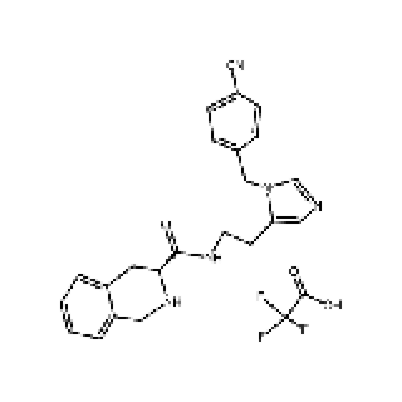 N#Cc1ccc(Cn2cncc2CCNC(=O)[C@@H]2Cc3ccccc3CN2)cc1.O=C(O)C(F)(F)F